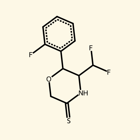 Fc1ccccc1C1OCC(=S)NC1C(F)F